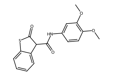 COc1ccc(NC(=O)C2C(=O)Sc3ccccc32)cc1OC